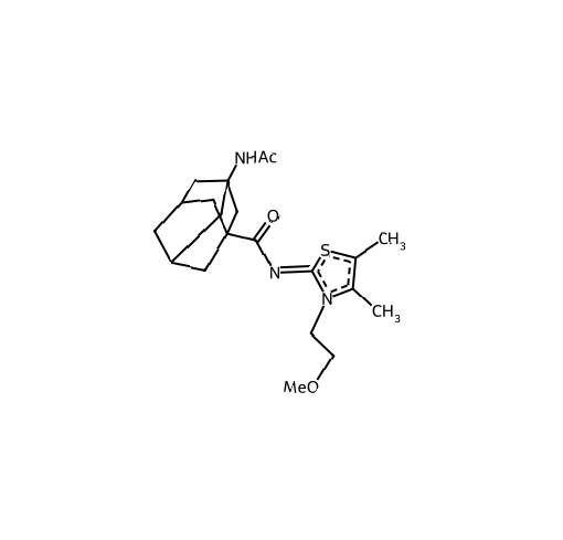 COCCn1c(C)c(C)sc1=NC(=O)C12CC3CC(CC(NC(C)=O)(C3)C1)C2